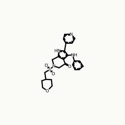 O=C1CN(S(=O)(=O)CC2CCOCC2)Cc2[nH]c(-c3ccncc3)c(Nc3ccccc3)c21